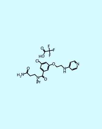 CC(C)N(CCC(N)=O)C(=O)c1cc(Cl)cc(OCCNc2ccncc2)c1.O=C(O)C(F)(F)F